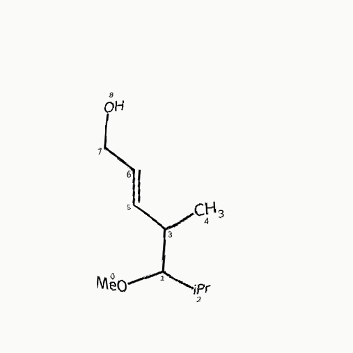 COC(C(C)C)C(C)C=CCO